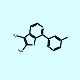 Nc1oc2c(-c3cccc(I)c3)nccc2c1N